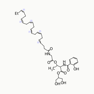 CC/C=C\C/C=C\C/C=C\C/C=C\C/C=C\C/C=C\CCC(=O)NCC(=O)OC(C)C(NC(=O)c1ccccc1O)C(=O)OC(CO)CO